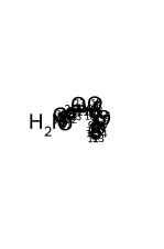 COc1cc(OC)c(-c2cc3ccccc3n2C)cc1C=CC(=O)c1ccc(S(N)(=O)=O)cc1